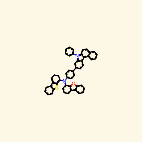 C1=c2c(sc3ccccc23)=C(N(c2ccc(-c3ccc4c5c6ccccc6ccc5n(-c5ccccc5)c4c3)cc2)c2cccc3c2oc2ccccc23)CC1